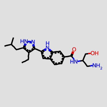 CCc1c(-c2cc3ccc(C(=O)NC(CN)CO)cc3[nH]2)n[nH]c1CC(C)C